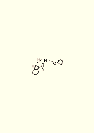 S=C1c2c([nH]c3c2CCCCC3)C[C@@H]2CCN(CCCOc3ccccc3)C[C@@H]12